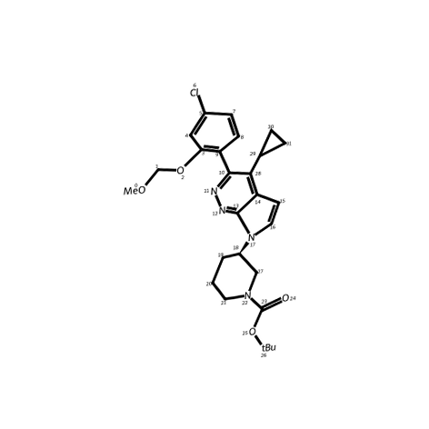 COCOc1cc(Cl)ccc1-c1nnc2c(ccn2[C@@H]2CCCN(C(=O)OC(C)(C)C)C2)c1C1CC1